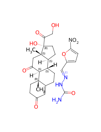 C[C@]12CCC(=O)C=C1CC[C@@H]1[C@@H]2C(=O)C[C@@]2(C)[C@H]1CC[C@]2(O)C(=O)CO.NC(=O)N/N=C/c1ccc([N+](=O)[O-])o1